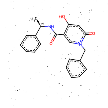 C[C@@H](NC(=O)c1cn(Cc2ccccc2)c(=O)cc1O)c1ccccc1